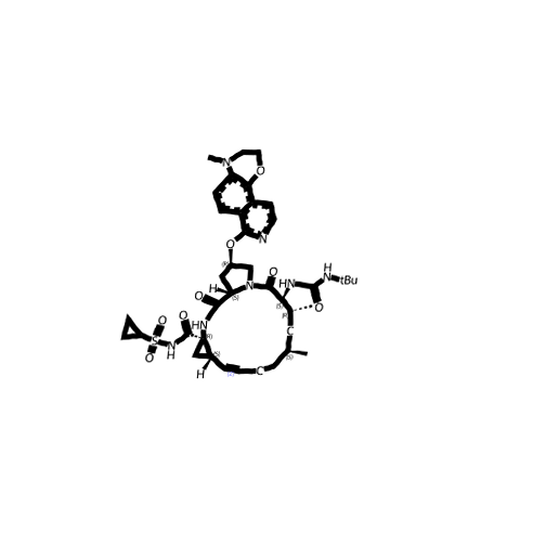 C[C@H]1CC/C=C\[C@@H]2C[C@@]2(C(=O)NS(=O)(=O)C2CC2)NC(=O)[C@@H]2C[C@@H](Oc3nccc4c5c(ccc34)N(C)CCO5)CN2C(=O)[C@@H](NC(=O)NC(C)(C)C)[C@H](C)C1